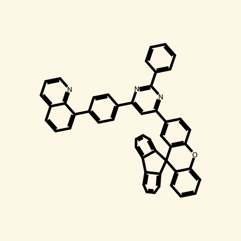 c1ccc(-c2nc(-c3ccc(-c4cccc5cccnc45)cc3)cc(-c3ccc4c(c3)C3(c5ccccc5O4)c4ccccc4-c4ccccc43)n2)cc1